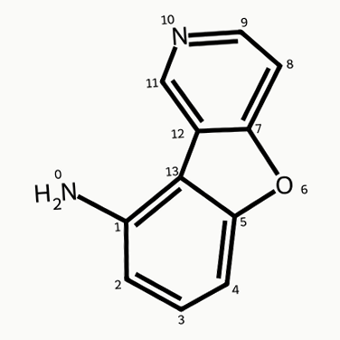 Nc1cccc2oc3ccncc3c12